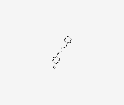 [O]c1ccc(OCOCc2ccccc2)cc1